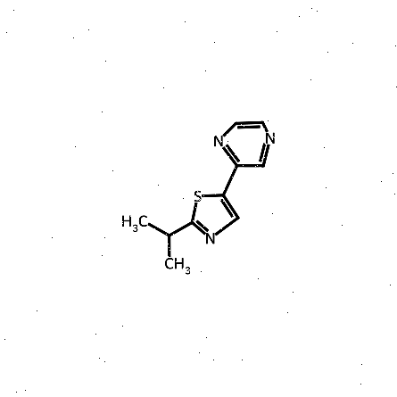 CC(C)c1ncc(-c2cnccn2)s1